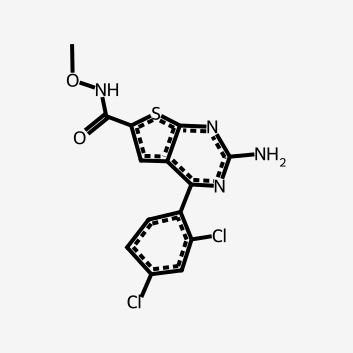 CONC(=O)c1cc2c(-c3ccc(Cl)cc3Cl)nc(N)nc2s1